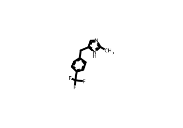 Cc1n[c]c(Cc2ccc(C(F)(F)F)cc2)[nH]1